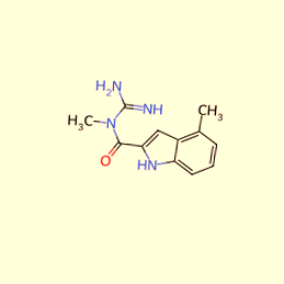 Cc1cccc2[nH]c(C(=O)N(C)C(=N)N)cc12